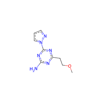 COCCc1nc(N)nc(-n2cccn2)n1